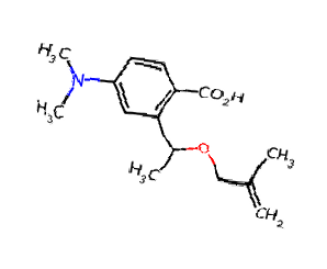 C=C(C)COC(C)c1cc(N(C)C)ccc1C(=O)O